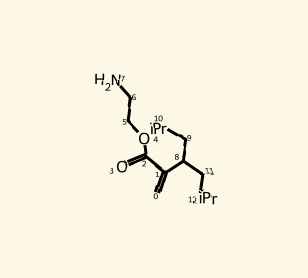 C=C(C(=O)OCCN)C(CC(C)C)CC(C)C